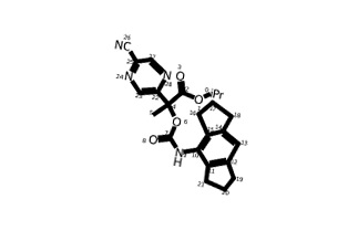 CC(C)OC(=O)C(C)(OC(=O)Nc1c2c(cc3c1CCC3)CCC2)c1cnc(C#N)cn1